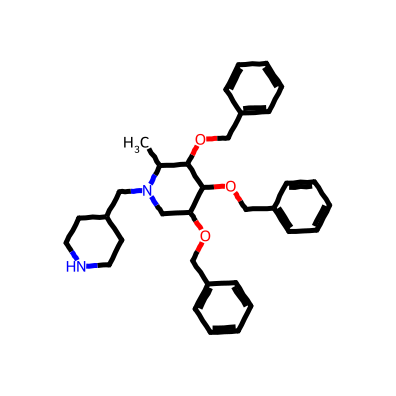 CC1C(OCc2ccccc2)C(OCc2ccccc2)C(OCc2ccccc2)CN1CC1CCNCC1